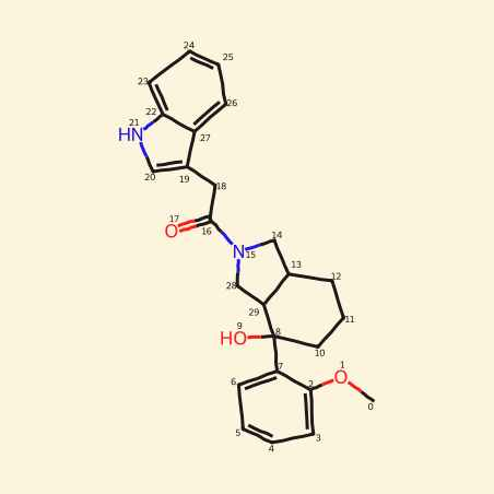 COc1ccccc1C1(O)CCCC2CN(C(=O)Cc3c[nH]c4ccccc34)CC21